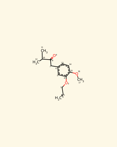 C=CCOc1cc(CC(=O)C(C)C)ccc1OC